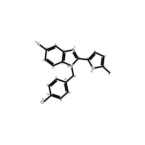 Cc1ccc(-c2nc3cc(F)ccc3n2Cc2ccc(Cl)cc2)o1